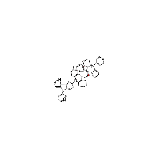 Cc1ccc2c(c1)C1(c3cc(C)ccc3N2c2ccc3c(c2)c2ncccc2n3-c2cccnc2)c2ccccc2C2(c3ccccc3N(c3ccccc3)c3ccccc32)c2ccccc21